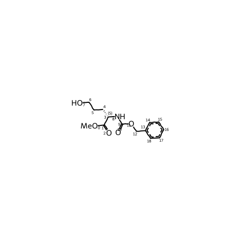 COC(=O)[C@H](CCCO)NC(=O)OCc1ccccc1